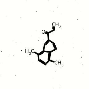 C=CC(=O)c1ccc2c(C)ccc(C)c2c1